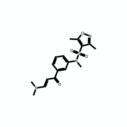 Cc1noc(C)c1S(=O)(=O)N(C)c1cccc(C(=O)/C=C/N(C)C)c1